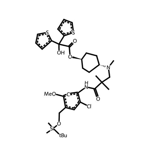 COc1cc(NC(=O)C(C)(C)CN(C)[C@H]2CC[C@H](OC(=O)C(O)(c3cccs3)c3cccs3)CC2)c(Cl)cc1CO[Si](C)(C)C(C)(C)C